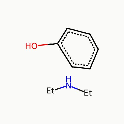 CCNCC.Oc1ccccc1